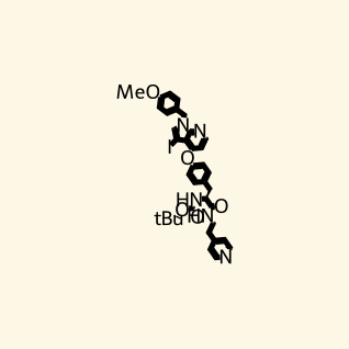 COc1ccc(Cn2cc(I)c3c(Oc4ccc(C[C@H](NC(=O)OC(C)(C)C)C(=O)NCCc5ccncc5)cc4)ccnc32)cc1